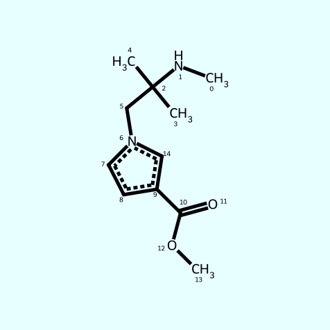 CNC(C)(C)Cn1ccc(C(=O)OC)c1